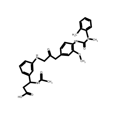 COc1cc(CC(=O)CNc2cccc(C(CC(=O)O)NC(C)=O)c2)ccc1NC(=O)N(C)c1ccccc1C